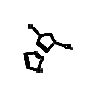 CCN1C=CN(C)C1.c1c[nH]nn1